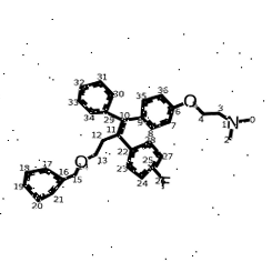 CN(C)CCOc1ccc(C(=C(CCOCc2ccccc2)c2ccc(F)cc2)c2ccccc2)cc1